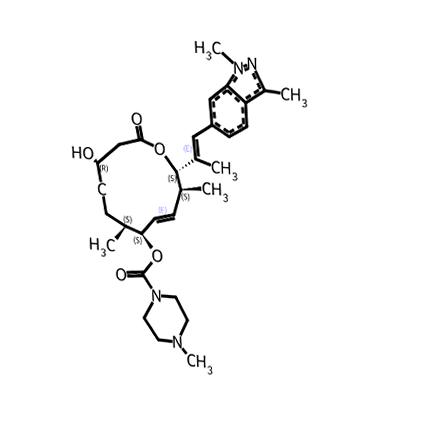 C/C(=C\c1ccc2c(C)nn(C)c2c1)[C@H]1OC(=O)C[C@H](O)CC[C@H](C)[C@H](OC(=O)N2CCN(C)CC2)/C=C/[C@@H]1C